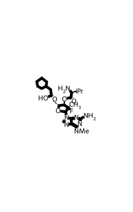 CNc1nc(N)nc2c1ncn2C1O[C@H](COC(O)CC2CCCCC2)[C@@H](OC(=O)[C@@H](N)C(C)C)[C@@]1(C)F